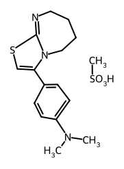 CN(C)c1ccc(C2=CSC3=NCCCCN23)cc1.CS(=O)(=O)O